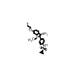 CCn1c(-c2ccc(NS(=O)(=O)C3CC3)cc2)c(N)c2ccc(OCCF)cc21